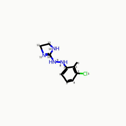 Cc1c(Cl)cccc1NNC1=NCCN1